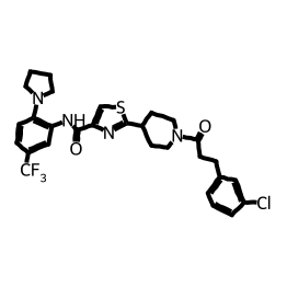 O=C(Nc1cc(C(F)(F)F)ccc1N1CCCC1)c1csc(C2CCN(C(=O)CCc3cccc(Cl)c3)CC2)n1